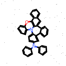 c1ccc(N(c2ccccc2)c2ccc3c(c2)-c2ccccc2-c2cc4ccccc4c4c2N3c2ccccc2O4)cc1